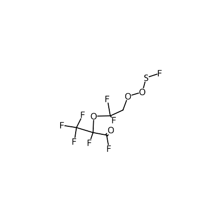 O=C(F)C(F)(OC(F)(F)COOSF)C(F)(F)F